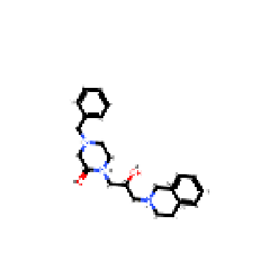 O=C1CN(Cc2ccccc2)CCN1CC(O)CN1CCc2ccccc2C1